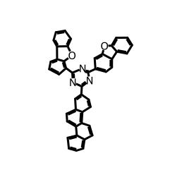 c1ccc2c(c1)ccc1c3ccc(-c4nc(-c5ccc6c(c5)oc5ccccc56)nc(-c5cccc6c5oc5ccccc56)n4)cc3ccc21